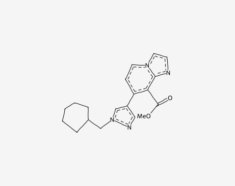 COC(=O)c1c(-c2cnn(CC3CCCCC3)c2)ccn2ccnc12